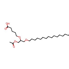 CCCCCCCCCCCCCCCCOCC(COC(C)=O)OCCCCC(=O)O